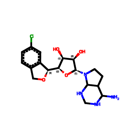 NC1NCNC2C1CCN2[C@@H]1O[C@H]([C@@H]2OCc3ccc(Cl)cc32)[C@@H](O)[C@H]1O